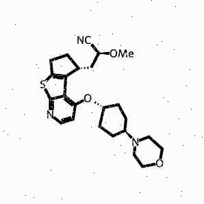 CO[C@H](C#N)C[C@H]1CCc2sc3nccc(O[C@H]4CC[C@H](N5CCOCC5)CC4)c3c21